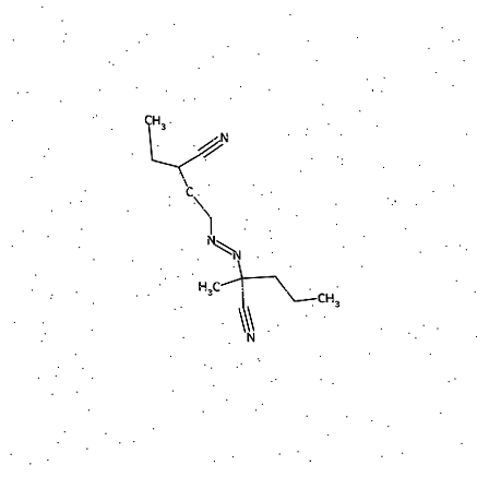 CCCC(C)(C#N)N=NCCC(C#N)CC